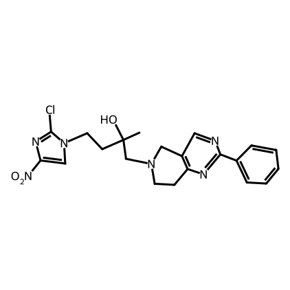 CC(O)(CCn1cc([N+](=O)[O-])nc1Cl)CN1CCc2nc(-c3ccccc3)ncc2C1